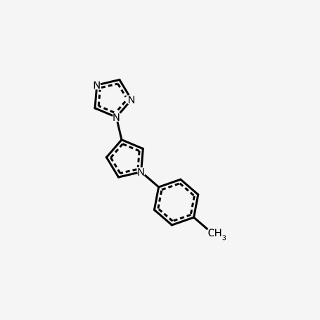 Cc1ccc(-n2ccc(-n3cncn3)c2)cc1